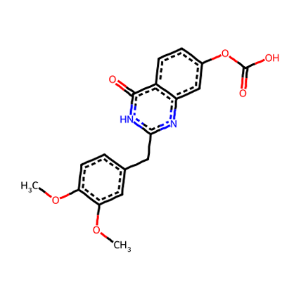 COc1ccc(Cc2nc3cc(OC(=O)O)ccc3c(=O)[nH]2)cc1OC